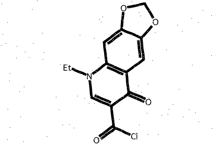 CCn1cc(C(=O)Cl)c(=O)c2cc3c(cc21)OCO3